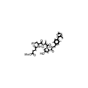 COC(=O)CCC(=O)NC(CC(C)C)C(=O)NC(C)C(=O)N1C[C@H](O)C[C@H]1C(=O)NCc1ccc(-c2scnc2C)cc1